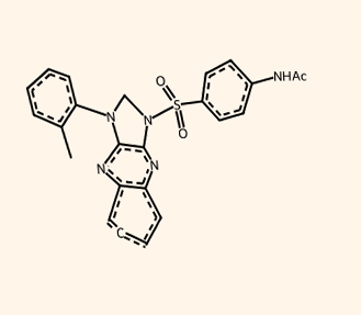 CC(=O)Nc1ccc(S(=O)(=O)N2CN(c3ccccc3C)c3nc4ccccc4nc32)cc1